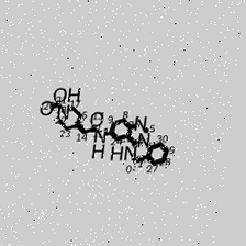 C[C@H](Nc1ncnc2ccc(NC(=O)C=C3CCN(C(=O)O)CC3)cc12)c1ccccc1